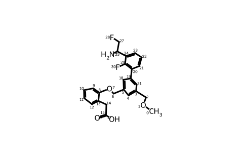 COCc1cc(COc2ccccc2CC(=O)O)cc(-c2cccc(C(N)CF)c2F)c1